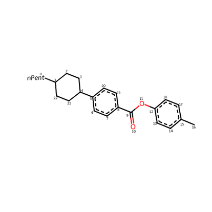 CCCCCC1CCC(c2ccc(C(=O)Oc3ccc(C)cc3)cc2)CC1